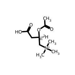 [2H][C@@](CC(=O)O)(C[N+](C)(C)C)OC(C)=O